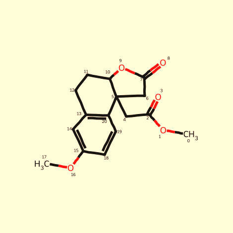 COC(=O)CC12CC(=O)OC1CCc1cc(OC)ccc12